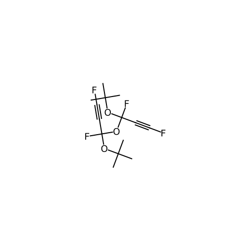 CC(C)(C)OC(F)(C#CF)OC(F)(C#CF)OC(C)(C)C